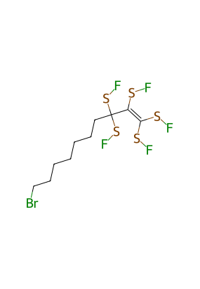 FSC(SF)=C(SF)C(CCCCCCCBr)(SF)SF